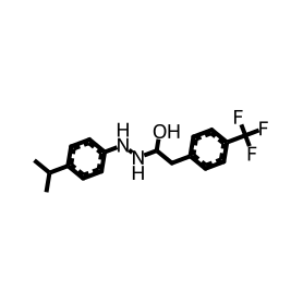 CC(C)c1ccc(NNC(O)Cc2ccc(C(F)(F)F)cc2)cc1